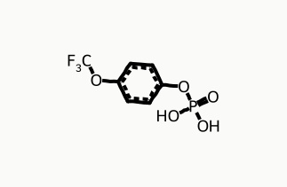 O=P(O)(O)Oc1ccc(OC(F)(F)F)cc1